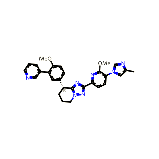 COc1ccc([C@H]2CCCn3nc(-c4ccc(-n5cnc(C)c5)c(OC)n4)nc32)cc1-c1cccnc1